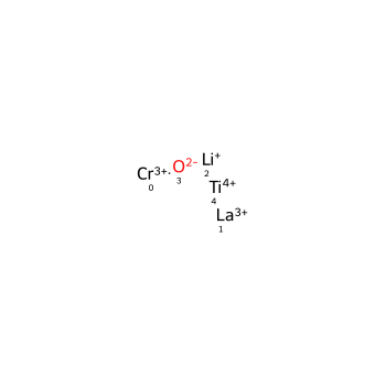 [Cr+3].[La+3].[Li+].[O-2].[Ti+4]